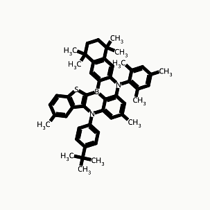 Cc1cc(C)c(N2c3cc4c(cc3B3c5sc6ccc(C)cc6c5N(c5ccc(C(C)(C)C)cc5)c5cc(C)cc2c53)C(C)(C)CCC4(C)C)c(C)c1